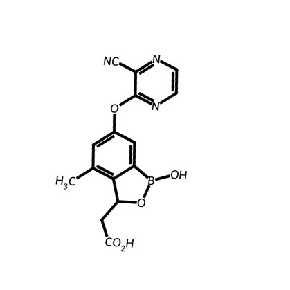 Cc1cc(Oc2nccnc2C#N)cc2c1C(CC(=O)O)OB2O